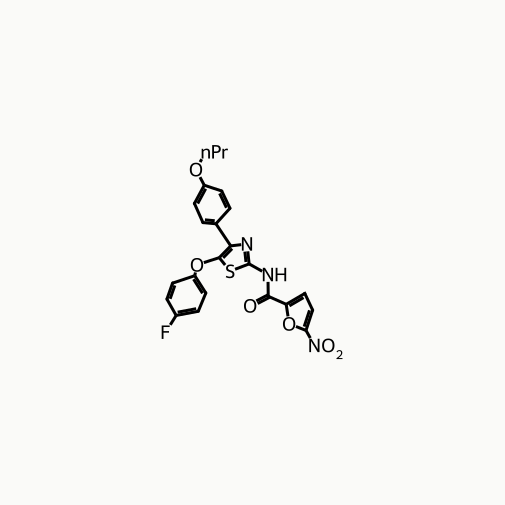 CCCOc1ccc(-c2nc(NC(=O)c3ccc([N+](=O)[O-])o3)sc2Oc2ccc(F)cc2)cc1